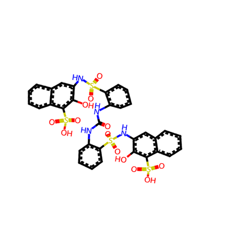 O=C(Nc1ccccc1S(=O)(=O)Nc1cc2ccccc2c(S(=O)(=O)O)c1O)Nc1ccccc1S(=O)(=O)Nc1cc2ccccc2c(S(=O)(=O)O)c1O